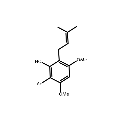 COc1cc(OC)c(C(C)=O)c(O)c1CC=C(C)C